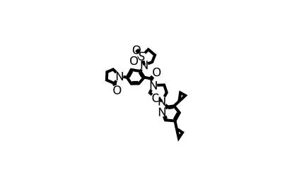 O=C(c1ccc(N2CCCC2=O)cc1N1CCCS1(=O)=O)N1CCN(c2ncc(C3CC3)cc2C2CC2)CC1